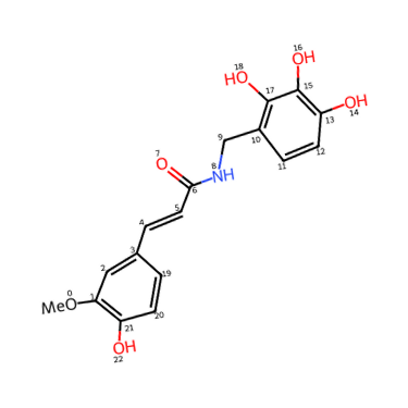 COc1cc(/C=C/C(=O)NCc2ccc(O)c(O)c2O)ccc1O